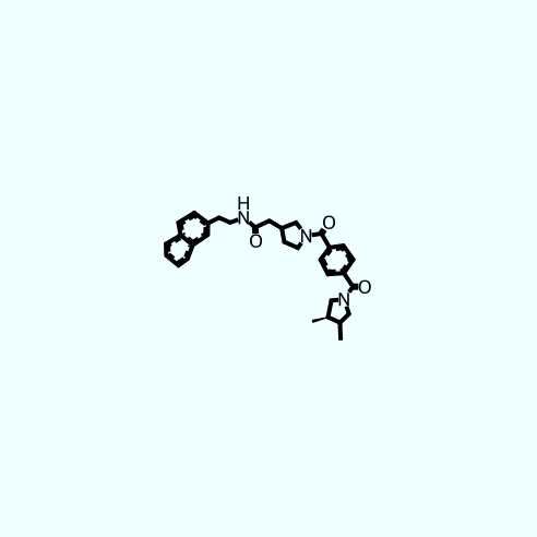 CC1CN(C(=O)c2ccc(C(=O)N3CCC(CC(=O)NCCc4ccc5ccccc5c4)C3)cc2)C[C@@H]1C